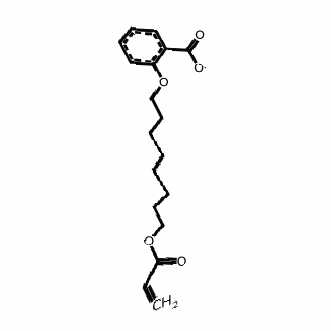 C=CC(=O)OCCCCCCCCOc1ccccc1C([O])=O